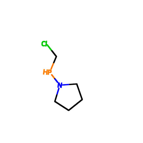 ClCPN1CCCC1